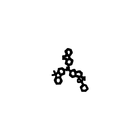 CC1(C)c2ccccc2-c2cc(N(c3ccc4c(ccc5nc(C6=CC=CCC6)oc54)c3)c3ccc4c(c3)sc3ccccc34)ccc21